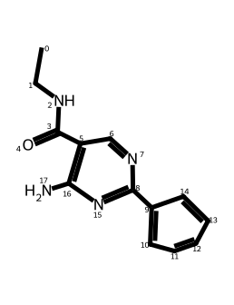 CCNC(=O)c1cnc(-c2ccccc2)nc1N